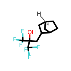 OC(CC1C[C@H]2CCC1C2)(C(F)(F)F)C(F)(F)F